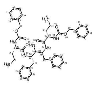 CCC[C@H](NC(=O)OCc1ccccn1)C(=O)N[C@@H](Cc1ccccc1)C(O)[C@H](Cc1ccccc1)NC(=O)[C@H](CCC)NC(=O)OCc1ccccn1